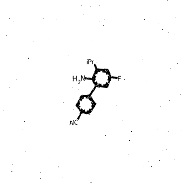 CC(C)c1cc(F)cc(-c2ccc(C#N)cc2)c1N